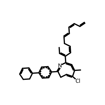 C=C/C=C\C=C\C/C=C\C(=C/C)C1=C=C(C)/C(Cl)=C/C/C(c2ccc(C3=CC=CCC3)cc2)=N\1